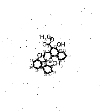 COC(=O)c1c2c(c3ccccc3c1O)OC(c1ccccc1C)(c1ccccc1C)C=C2